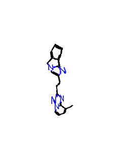 Cc1cccn2nc(CCc3cn4c(n3)-c3ccccc3C4)nc12